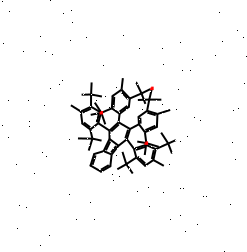 Cc1cc(C(C)(C)C)c(-c2c(-c3cc(C(C)(C)C)c(C)cc3C(C)(C)C)c(-c3cc(C(C)(C)C)c(C)cc3C(C)(C)C)c3c(c2-c2cc(C(C)(C)C)c(C)cc2C(C)(C)C)=c2ccccc2=3)cc1C(C)(C)C